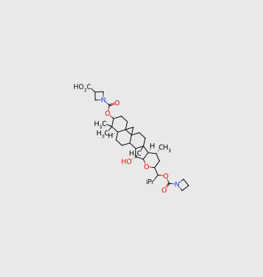 CC(C)C(OC(=O)N1CCC1)C1C[C@@H](C)[C@H]2C(O1)[C@H](O)C1C3CC[C@H]4C(C)(C)C(OC(=O)N5CC(C(=O)O)C5)CCC45CC35CCC12C